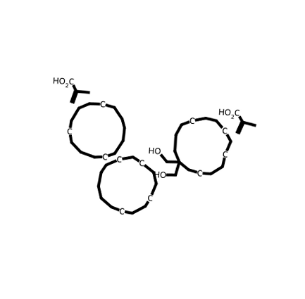 C1CCCCCCCCCCCCC1.C1CCCCCCCCCCCCC1.C=C(C)C(=O)O.C=C(C)C(=O)O.OCC1(CO)CCCCCCCCCCCCC1